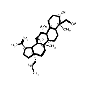 C=C(C)[C@@H]1CC[C@]2(CNC)CC[C@]3(C)C(CCC4[C@@]5(C)CC[C@H](O)[C@@](C)(CO)C5CC[C@]43C)C12